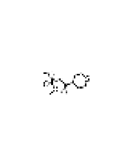 COP(=O)(CC(=O)C1CCSCC1)OC